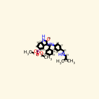 CCOP(=O)(OCC)c1ccc2c(c1)/C(=C(/Nc1ccc(CNCC(C)C)cc1)c1ccccc1)C(=O)N2